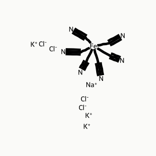 N#[C][Fe]([C]#N)([C]#N)([C]#N)([C]#N)[C]#N.[Cl-].[Cl-].[Cl-].[Cl-].[K+].[K+].[K+].[Na+]